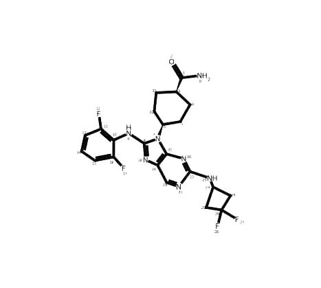 NC(=O)[C@H]1CC[C@@H](n2c(Nc3c(F)cccc3F)nc3cnc(NC4CC(F)(F)C4)nc32)CC1